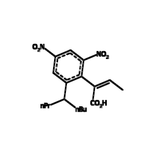 CC=C(C(=O)O)c1c(C(CCC)CCCC)cc([N+](=O)[O-])cc1[N+](=O)[O-]